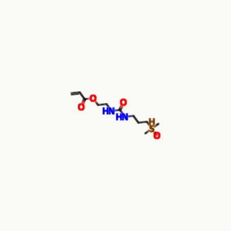 C=CC(=O)OCCNC(=O)NCCC[SH](C)(C)=O